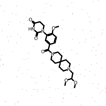 COc1ccc(C(=O)N2CCC3(CCN(CC(OC)OC)CC3)CC2)cc1N1CCC(=O)NC1=O